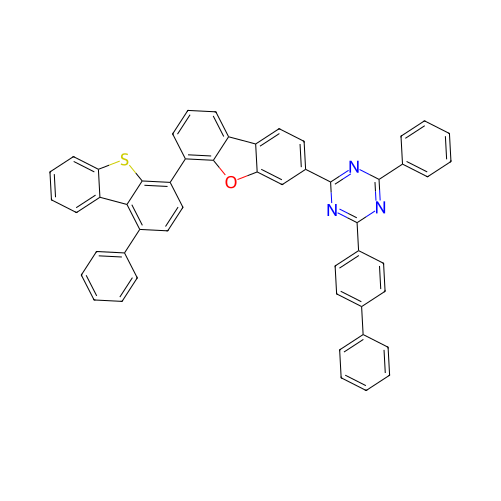 c1ccc(-c2ccc(-c3nc(-c4ccccc4)nc(-c4ccc5c(c4)oc4c(-c6ccc(-c7ccccc7)c7c6sc6ccccc67)cccc45)n3)cc2)cc1